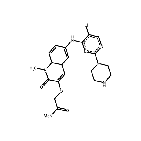 CNC(=O)COC1=CC2C=C(Nc3nc(N4CCNCC4)ncc3Cl)C=CC2N(C)C1=O